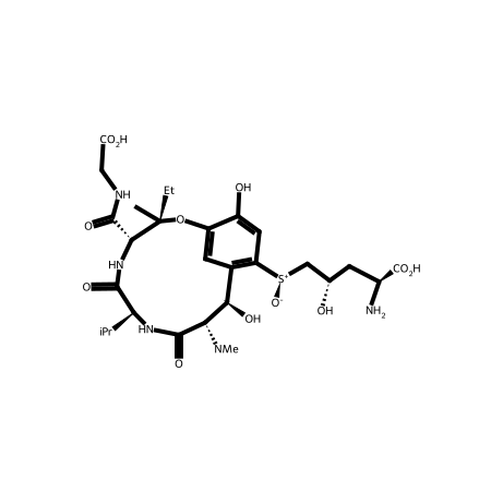 CC[C@@]1(C)Oc2cc(c([S@+]([O-])C[C@@H](O)C[C@H](N)C(=O)O)cc2O)[C@@H](O)[C@H](NC)C(=O)N[C@@H](C(C)C)C(=O)N[C@@H]1C(=O)NCC(=O)O